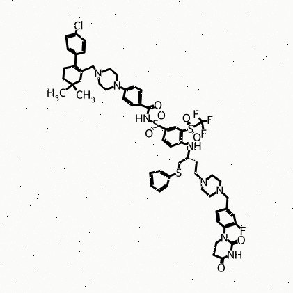 CC1(C)CCC(c2ccc(Cl)cc2)=C(CN2CCN(c3ccc(C(=O)NS(=O)(=O)c4ccc(N[C@H](CCN5CCN(Cc6ccc(N7CCC(=O)NC7=O)c(F)c6)CC5)CSc5ccccc5)c(S(=O)(=O)C(F)(F)F)c4)cc3)CC2)C1